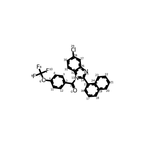 O=C(c1ccc(OC(F)(F)F)cc1)n1c(-c2cccc3ccccc23)nc2cc(Cl)ccc21